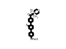 CCCCCc1ccc(-c2ccc(-c3ccc(C(=O)C(C)(C)N4CCOCC4)cc3)c(F)c2)cc1